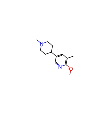 COc1ncc(C2CCN(C)CC2)cc1C